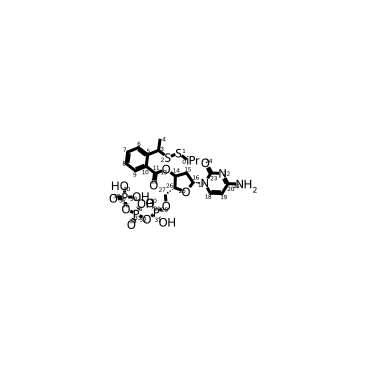 CC(C)SSC(C)c1ccccc1C(=O)OC1C[C@H](n2ccc(N)nc2=O)O[C@@H]1COP(=O)(O)OP(=O)(O)OP(=O)(O)O